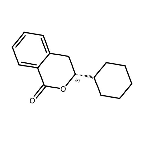 O=C1O[C@@H](C2CCCCC2)Cc2ccccc21